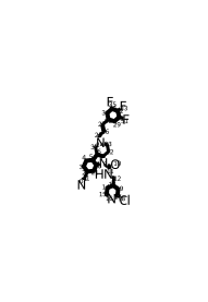 N#Cc1ccc2c3c(n(C(=O)NCc4ccnc(Cl)c4)c2c1)CCN(C/C=C/c1cc(F)c(F)c(F)c1)C3